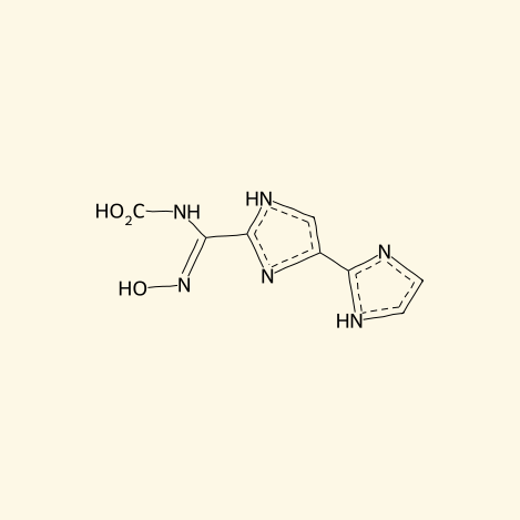 O=C(O)NC(=NO)c1nc(-c2ncc[nH]2)c[nH]1